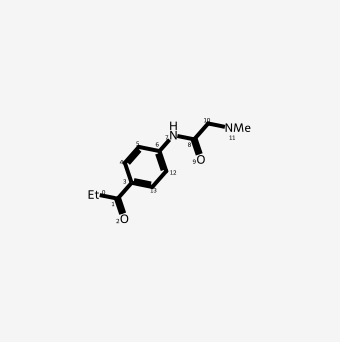 CCC(=O)c1ccc(NC(=O)CNC)cc1